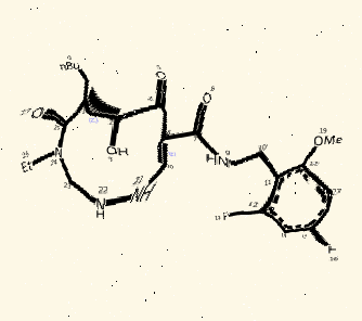 CCCC/C1=C(/O)C(=O)/C(C(=O)NCc2c(F)cc(F)cc2OC)=C\NNCN(CC)C1=O